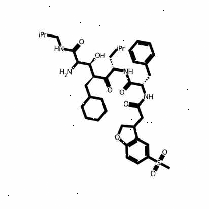 CC(C)CNC(=O)C(N)[C@@H](O)[C@H](CC1CCCCC1)C(=O)[C@H](CC(C)C)NC(=O)[C@H](Cc1ccccc1)NC(=O)CC1COc2ccc(S(C)(=O)=O)cc21